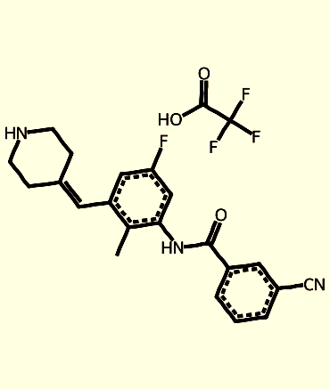 Cc1c(C=C2CCNCC2)cc(F)cc1NC(=O)c1cccc(C#N)c1.O=C(O)C(F)(F)F